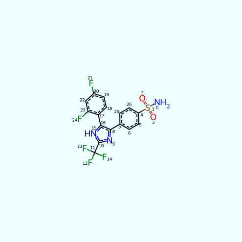 NS(=O)(=O)c1ccc(-c2nc(C(F)(F)F)[nH]c2-c2ccc(F)cc2F)cc1